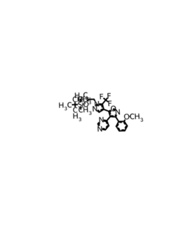 COc1ccccc1-c1noc(-c2cnn(C[C@@H](C)O[Si](C)(C)C(C)(C)C)c2C(F)(F)F)c1-c1ccncn1